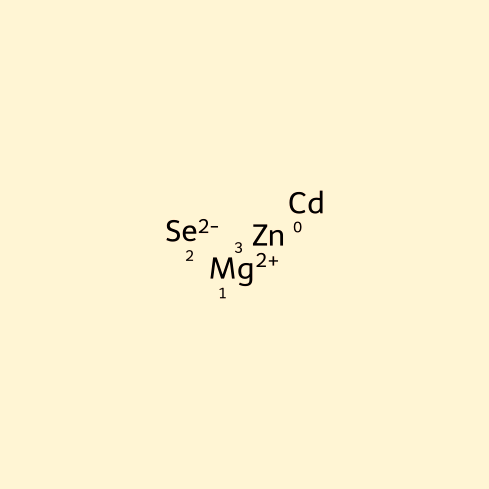 [Cd].[Mg+2].[Se-2].[Zn]